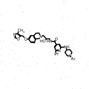 CC(=O)N1CCC(Nc2cc(C(=O)NCC(O)CN3CCc4cc(OCc5ocnc5C)ccc4C3)cc(C(C)C)n2)CC1